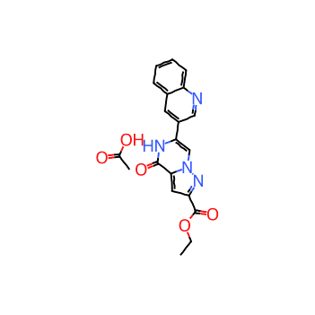 CC(=O)O.CCOC(=O)c1cc2c(=O)[nH]c(-c3cnc4ccccc4c3)cn2n1